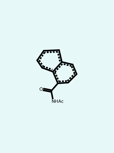 CC(=O)NC(=O)c1cccc2ccccc12